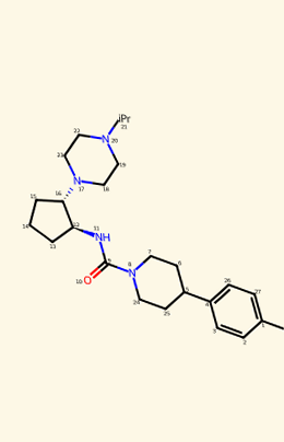 Cc1ccc(C2CCN(C(=O)N[C@H]3CCC[C@@H]3N3CCN(C(C)C)CC3)CC2)cc1